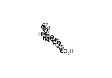 O=C(Nc1ccc(OC2CCC(C(=O)O)CC2)nc1)c1nnc(Nc2cccc(OC(F)(F)F)c2)o1